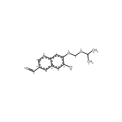 CC(C)OCOc1cc2ncc(C=O)cc2cc1Cl